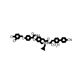 N#Cc1ccc(-c2ccc(C[C@H](NC(=O)C3Cc4cc5c(cc4CN3CC3CC3)OC(c3ccc(OCc4ccc(Cl)c(Cl)c4)cc3)C(=O)N5)C(=O)O)cc2)cc1